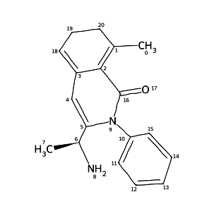 CC1=c2c(cc([C@H](C)N)n(-c3ccccc3)c2=O)=CCC1